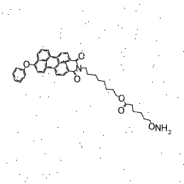 NOCCCCCC(=O)OCCCCCCCCN1C(=O)c2ccc3c4cccc5c(Oc6ccccc6)ccc(c6ccc(c2c36)C1=O)c54